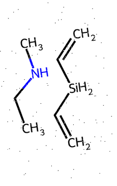 C=C[SiH2]C=C.CCNC